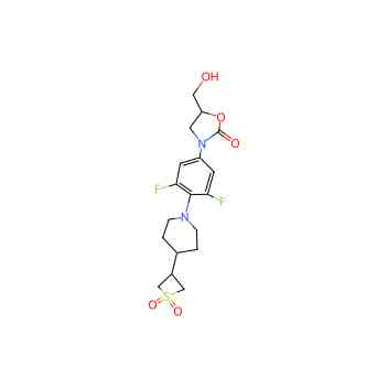 O=C1OC(CO)CN1c1cc(F)c(N2CCC(C3CS(=O)(=O)C3)CC2)c(F)c1